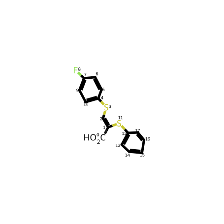 O=C(O)C(=CSc1ccc(F)cc1)Sc1ccccc1